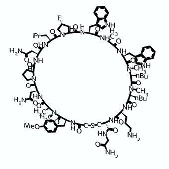 CCCC[C@H]1C(=O)N(C)[C@@H](CCCC)C(=O)N[C@@H](CCCN)C(=O)N[C@H](C(=O)NCC(N)=O)CSCC(=O)N[C@@H](Cc2ccc(OC)cc2)C(=O)N(C)[C@@H](C)C(=O)N[C@@H](CC(N)=O)C(=O)N2CCC[C@H]2C(=O)N[C@@H](CC(N)=O)C(=O)N[C@@H](CC(C)C)C(=O)N2C[C@H](F)C[C@H]2C(=O)N[C@@H](Cc2c[nH]c3ccccc23)C(=O)N[C@@H](C)C(=O)N[C@@H](Cc2c[nH]c3ccccc23)C(=O)N1C